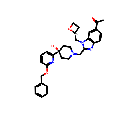 CC(=O)c1ccc2nc(CN3CCC(O)(c4cccc(OCc5ccccc5)n4)CC3)n(C[C@@H]3CCO3)c2c1